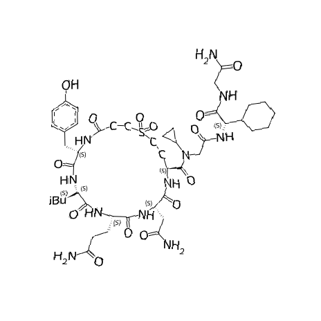 CC[C@H](C)[C@@H]1NC(=O)[C@H](Cc2ccc(O)cc2)NC(=O)CCS(=O)(=O)CC[C@@H](C(=O)N(CC(=O)N[C@H](C(=O)NCC(N)=O)C2CCCCC2)C2CC2)NC(=O)[C@H](CC(N)=O)NC(=O)[C@H](CCC(N)=O)NC1=O